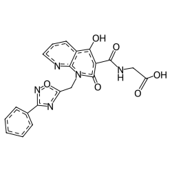 O=C(O)CNC(=O)c1c(O)c2cccnc2n(Cc2nc(-c3ccccc3)no2)c1=O